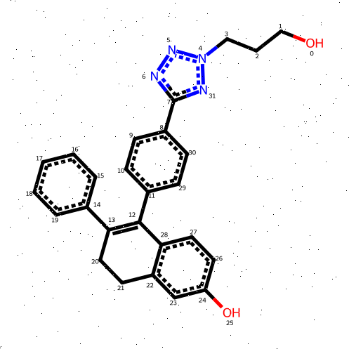 OCCCn1nnc(-c2ccc(C3=C(c4ccccc4)CCc4cc(O)ccc43)cc2)n1